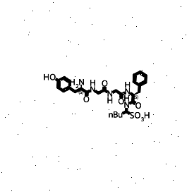 CCCCC(NC(=O)[C@H](Cc1ccccc1)NC(=O)CNC(=O)CNC(=O)[C@@H](N)Cc1ccc(O)cc1)S(=O)(=O)O